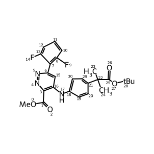 COC(=O)c1nnc(-c2c(F)cccc2F)cc1Nc1ccc(C(C)(C)C(=O)OC(C)(C)C)cc1